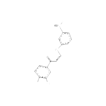 Cc1ccc(C(=O)/C=C\Nc2cccc([N+](=O)[O-])c2)cc1C